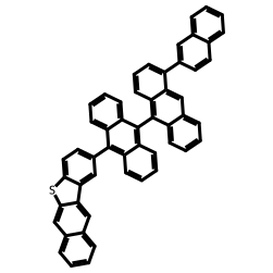 c1ccc2cc(-c3cccc4c(-c5c6ccccc6c(-c6ccc7sc8cc9ccccc9cc8c7c6)c6ccccc56)c5ccccc5cc34)ccc2c1